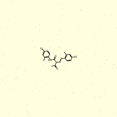 CC(=O)C(/N=N/c1ccc(Cl)cc1C)C(=O)Nc1ccc(Cl)cc1C